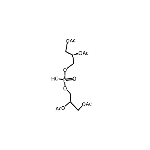 CC(=O)OCC(COP(=O)(O)OC[C@@H](COC(C)=O)OC(C)=O)OC(C)=O